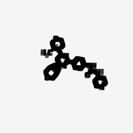 C[C@@H]1COCCN1c1cc(N2C3CCC2COC3)nc(-c2ccc(NC(=O)Nc3ccncc3)cc2)n1